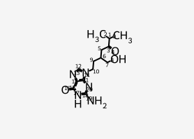 CC(C)C(=O)CC(CO)CCn1cnc2c(=O)[nH]c(N)nc21